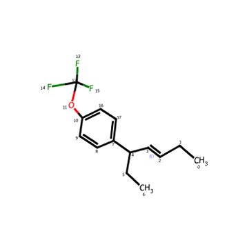 CC/C=C/C(CC)c1ccc(OC(F)(F)F)cc1